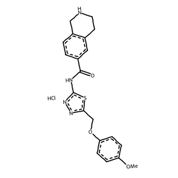 COc1ccc(OCc2nnc(NC(=O)c3ccc4c(c3)CCNC4)s2)cc1.Cl